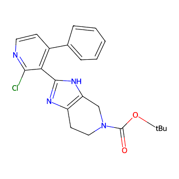 CC(C)(C)OC(=O)N1CCc2nc(-c3c(-c4ccccc4)ccnc3Cl)[nH]c2C1